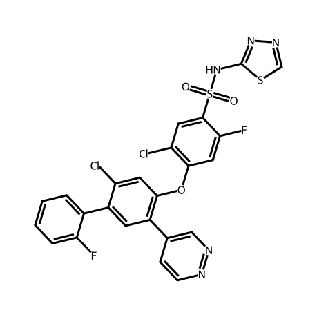 O=S(=O)(Nc1nncs1)c1cc(Cl)c(Oc2cc(Cl)c(-c3ccccc3F)cc2-c2ccnnc2)cc1F